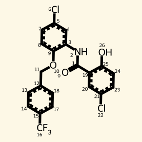 O=C(Nc1cc(Cl)ccc1OCc1ccc(C(F)(F)F)cc1)c1cc(Cl)ccc1O